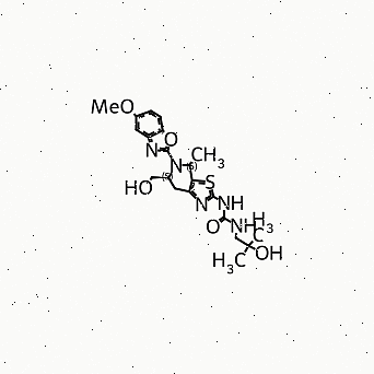 COc1ccc2oc(N3[C@H](CO)Cc4nc(NC(=O)NCC(C)(C)O)sc4[C@@H]3C)nc2c1